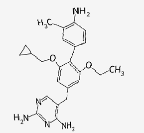 CCOc1cc(Cc2cnc(N)nc2N)cc(OCC2CC2)c1-c1ccc(N)c(C)c1